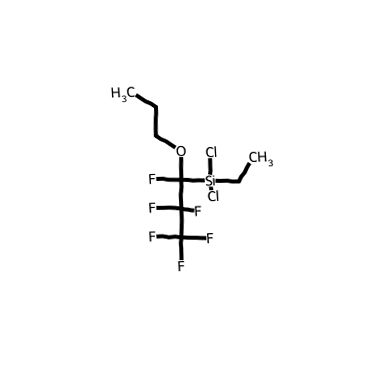 CCCOC(F)(C(F)(F)C(F)(F)F)[Si](Cl)(Cl)CC